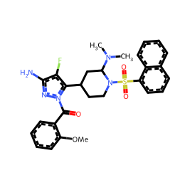 COc1ccccc1C(=O)n1nc(N)c(F)c1C1CCN(S(=O)(=O)c2cccc3ccccc23)C(N(C)C)C1